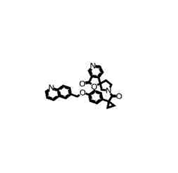 O=C1OC2(CCN(C(=O)C3(c4ccc(OCc5ccc6ncccc6c5)cc4)CC3)C2)c2ccncc21